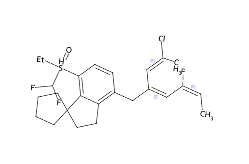 C\C=C(F)/C=C(\C=C(/C)Cl)Cc1ccc([SH](=O)(CC)C(F)F)c2c1CCC21CCCC1